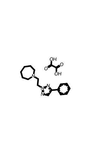 O=C(O)C(=O)O.c1ccc(-c2cnn(CCN3CCCCCC3)n2)cc1